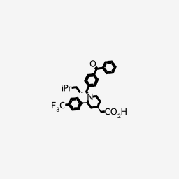 CC(C)CC[C@H](c1ccc(C(=O)c2ccccc2)cc1)N1CC[C@@H](CC(=O)O)C[C@H]1c1ccc(C(F)(F)F)cc1